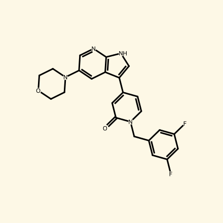 O=c1cc(-c2c[nH]c3ncc(N4CCOCC4)cc23)ccn1Cc1cc(F)cc(F)c1